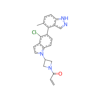 C=CC(=O)N1CC(n2ccc3c(Cl)c(-c4c(C)ccc5[nH]ncc45)ccc32)C1